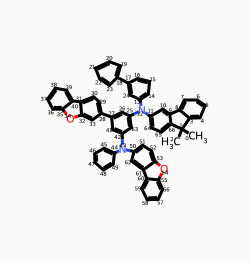 CC1(C)c2ccccc2-c2cc(N(c3cccc(-c4ccccc4)c3)c3cc(-c4ccc5c(c4)oc4ccccc45)cc(N(c4ccccc4)c4ccc5oc6ccccc6c5c4)c3)ccc21